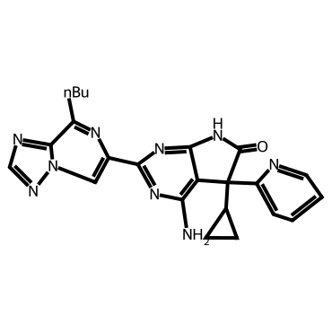 CCCCc1nc(-c2nc(N)c3c(n2)NC(=O)C3(c2ccccn2)C2CC2)cn2ncnc12